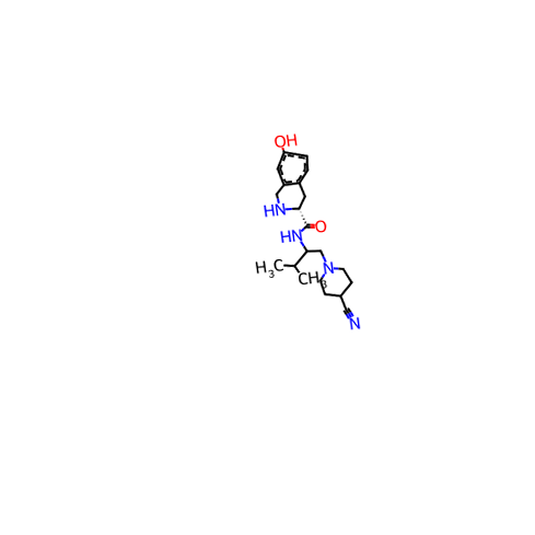 CC(C)C(CN1CCC(C#N)CC1)NC(=O)[C@H]1Cc2ccc(O)cc2CN1